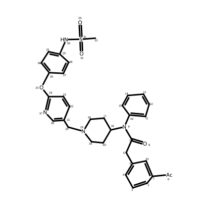 CC(=O)c1cccc(CC(=O)N(c2ccccc2)C2CCN(Cc3ccc(Oc4ccc(NS(C)(=O)=O)cc4)nc3)CC2)c1